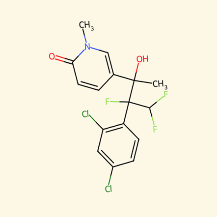 Cn1cc(C(C)(O)C(F)(c2ccc(Cl)cc2Cl)C(F)F)ccc1=O